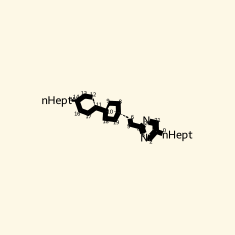 CCCCCCCc1cnc(CC[C@H]2CC[C@H]([C@H]3CC[C@H](CCCCCCC)CC3)CC2)nc1